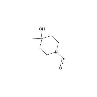 CC1(O)CCN([C]=O)CC1